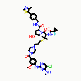 CNc1nc(Nc2ccc(C(=O)N3CCN(CCCSC(C)(C)[C@H](NC(=O)C4(F)CC4)C(=O)N4C[C@H](O)C[C@H]4C(=O)NCc4ccc(-c5scnc5C)cc4)CC3)cc2OC)ncc1Cl